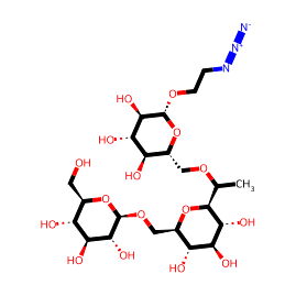 CC(OC[C@H]1O[C@@H](OCCN=[N+]=[N-])[C@H](O)[C@@H](O)[C@@H]1O)[C@@H]1O[C@H](CO[C@@H]2O[C@H](CO)[C@@H](O)[C@H](O)[C@H]2O)[C@@H](O)[C@H](O)[C@H]1O